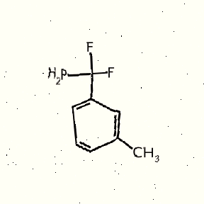 Cc1cccc(C(F)(F)P)c1